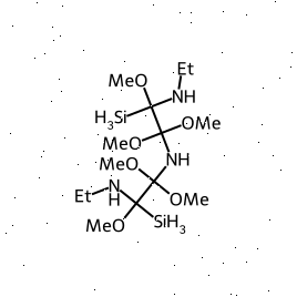 CCNC([SiH3])(OC)C(NC(OC)(OC)C([SiH3])(NCC)OC)(OC)OC